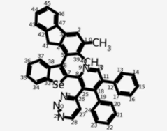 Cc1cc2c(c(-c3c(-c4ncc(-c5ccccc5)c(-c5ccccc5)c4-c4ccnnn4)[se]c4ccccc34)c1C)Cc1ccccc1-2